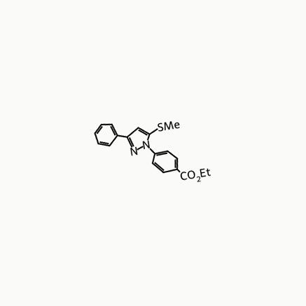 CCOC(=O)c1ccc(-n2nc(-c3ccccc3)cc2SC)cc1